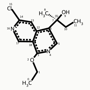 CCOc1ncc([C@@](C)(O)CC)c2cc(Cl)ncc12